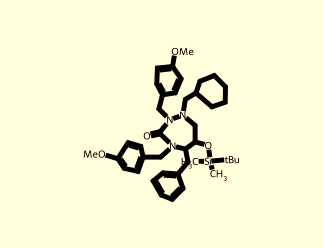 COc1ccc(CN2C(=O)N(Cc3ccc(OC)cc3)N(CC3CCCCC3)CC(O[Si](C)(C)C(C)(C)C)C2Cc2ccccc2)cc1